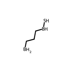 BCCCBS